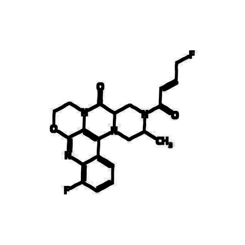 CC1CN2c3c4c(nc5c(F)cccc35)OCCN4C(=O)C2CN1C(=O)/C=C/CF